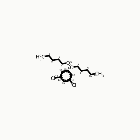 CCCCCOOCCCCC.Clc1cccc(Cl)c1